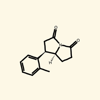 Cc1ccccc1[C@H]1CC(=O)N2C(=O)CC[C@@H]12